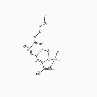 COCCOc1cc2c(cc1Cl)C=C(C(=O)O)C(C(F)(F)F)O2